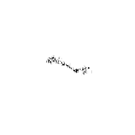 CCc1c2c(nc3ccc(OC(=O)NCCOCCOCc4cn(CCO[C@H]5O[C@@H](CO)[C@H](O)[C@@H](O)[C@@H]5O)nn4)cc13)-c1cc3c(c(=O)n1C2)COC(=O)C3(O)CC